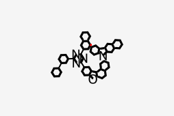 c1ccc(-c2cccc(-c3nc(-c4ccc5ccccc5c4)nc(-c4ccc5oc6ccc7ccc(-n8c9ccccc9c9cc%10ccccc%10cc98)cc7c6c5c4)n3)c2)cc1